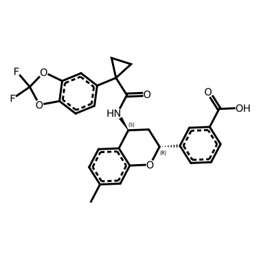 Cc1ccc2c(c1)O[C@@H](c1cccc(C(=O)O)c1)C[C@@H]2NC(=O)C1(c2ccc3c(c2)OC(F)(F)O3)CC1